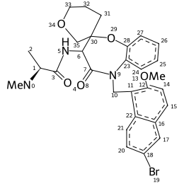 CN[C@@H](C)C(=O)NC1C(=O)N(Cc2c(OC)ccc3cc(Br)ccc23)c2ccccc2OC12CCCOC2